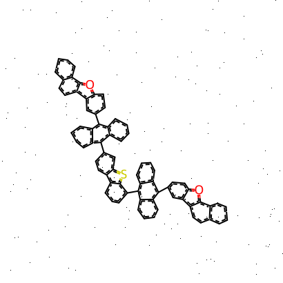 c1ccc2c(c1)ccc1c3cc(-c4c5ccccc5c(-c5ccc6c(c5)sc5c(-c7c8ccccc8c(-c8ccc9oc%10c%11ccccc%11ccc%10c9c8)c8ccccc78)cccc56)c5ccccc45)ccc3oc21